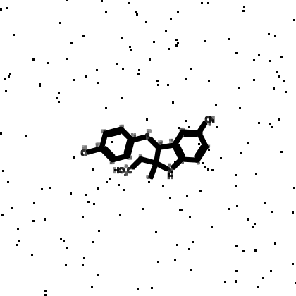 CC1(CC(=O)O)Nc2ccc(C#N)cc2C1Sc1ccc(Cl)cc1